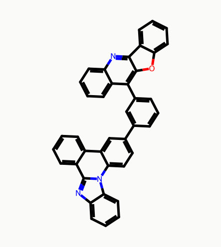 c1cc(-c2ccc3c(c2)c2ccccc2c2nc4ccccc4n32)cc(-c2c3ccccc3nc3c2oc2ccccc23)c1